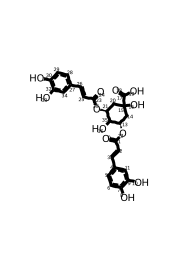 O=C(/C=C/c1ccc(O)c(O)c1)O[C@H]1CC(O)(C(=O)O)C[C@H](OC(=O)/C=C/c2ccc(O)c(O)c2)C1O